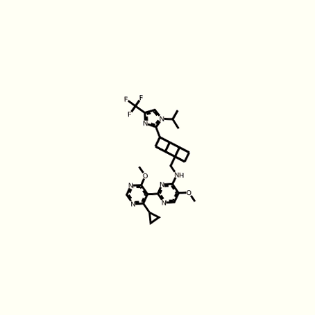 COc1cnc(-c2c(OC)ncnc2C2CC2)nc1NCC12C3C4C1C1C2C3C41c1nc(C(F)(F)F)cn1C(C)C